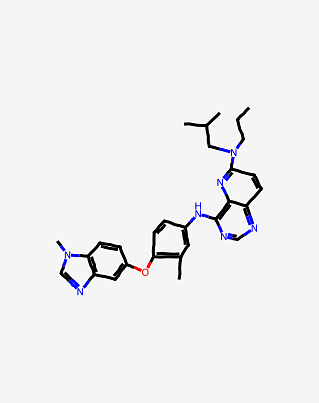 CCCN(CC(C)C)c1ccc2ncnc(Nc3ccc(Oc4ccc5c(c4)ncn5C)c(C)c3)c2n1